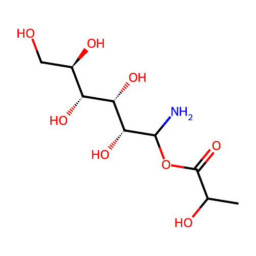 CC(O)C(=O)OC(N)[C@H](O)[C@@H](O)[C@H](O)[C@H](O)CO